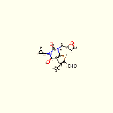 Cc1c(C=O)sc2c1c(=O)n(C1CC1)c(=O)n2CC1CCO1